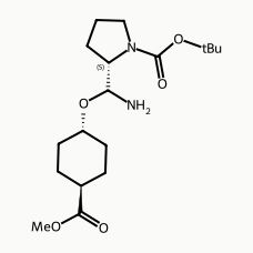 COC(=O)[C@H]1CC[C@H](OC(N)[C@@H]2CCCN2C(=O)OC(C)(C)C)CC1